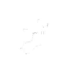 Cc1ccccc1C(O)=[SH]C(F)F